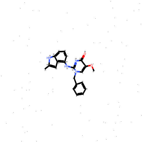 COc1cn(Cc2ccccc2)c(Nc2cccc3[nH]c(C)cc23)nc1=O